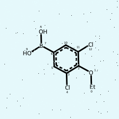 CCOc1c(Cl)cc(B(O)O)cc1Cl